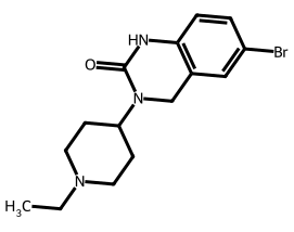 CCN1CCC(N2Cc3cc(Br)ccc3NC2=O)CC1